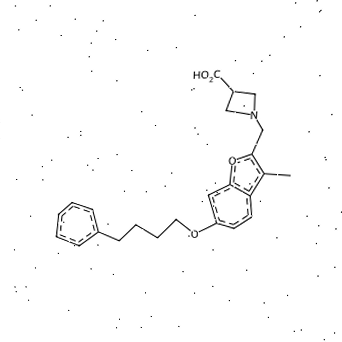 Cc1c(CN2CC(C(=O)O)C2)oc2cc(OCCCCc3ccccc3)ccc12